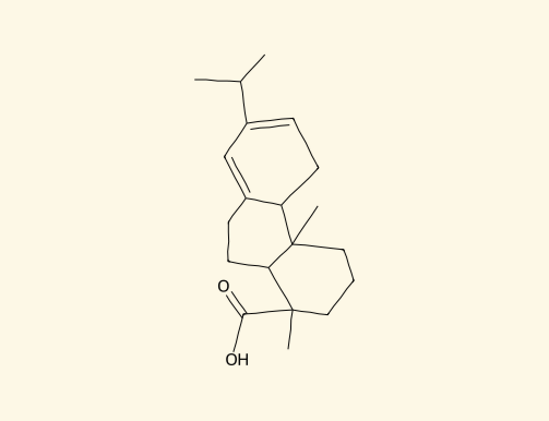 CC(C)C1=CCC2C(=C1)CCC1C(C)(C(=O)O)CCCC21C